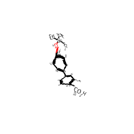 CC[Si](CC)(CC)Oc1ccc(-c2ccc(C(=O)O)cc2)cc1